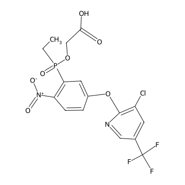 CCP(=O)(OCC(=O)O)c1cc(Oc2ncc(C(F)(F)F)cc2Cl)ccc1[N+](=O)[O-]